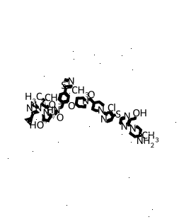 Cc1ncsc1-c1ccc(CNC(=O)[C@@H]2C[C@@H](O)CN2C(=O)[C@H](C(C)C)n2cc(C3CC3)nn2)c(OC2CCN(C(=O)C3CCN(c4nccc(Sc5cnc(N6CCC(C)(N)CC6)c(CO)n5)c4Cl)CC3)CC2)c1